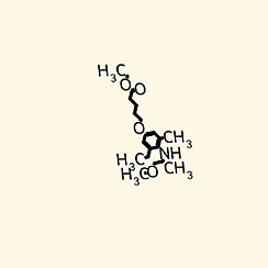 CCOC(=O)CCCCOc1cc(C)c(NC(C)COC)c(CC)c1